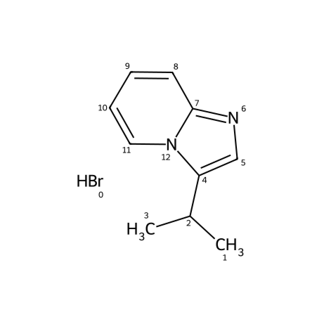 Br.CC(C)c1cnc2ccccn12